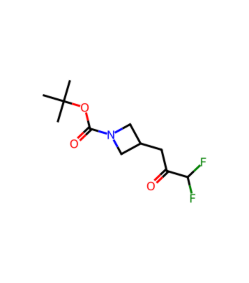 CC(C)(C)OC(=O)N1CC(CC(=O)C(F)F)C1